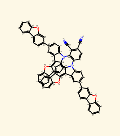 N#Cc1ccc(-n2c3ccc(-c4ccc5c(c4)oc4ccccc45)cc3c3c4oc5ccccc5c4ccc32)c(-n2c3ccc(-c4ccc5c(c4)oc4ccccc45)cc3c3c4oc5ccccc5c4ccc32)c1C#N